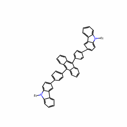 CCn1c2ccccc2c2cc(-c3ccc(-c4c5ccccc5c(-c5ccc(-c6ccc7c(c6)c6ccccc6n7CC)cc5)c5ccccc45)cc3)ccc21